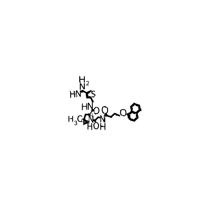 C[C@@]12C[C@@H]1N(C(=O)CNC(=O)CCCOc1cccc3ccccc13)[C@H](C(=O)NCc1cc(C(=N)N)cs1)C2